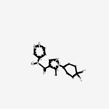 CCN(C(=O)c1cnn(C2CCC(F)(F)CC2)c1C)c1ccnnc1